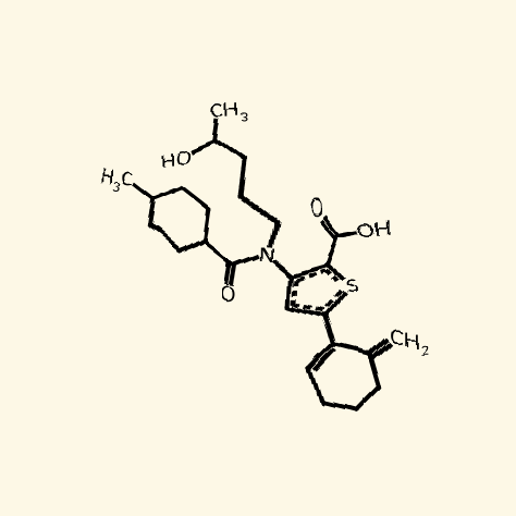 C=C1CCCC=C1c1cc(N(CCCC(C)O)C(=O)C2CCC(C)CC2)c(C(=O)O)s1